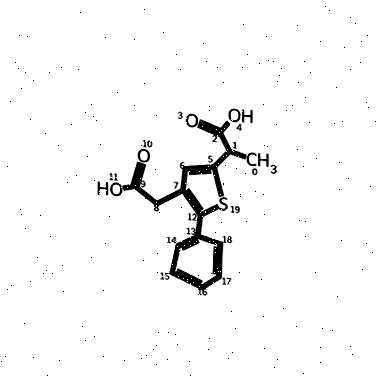 CC(C(=O)O)c1cc(CC(=O)O)c(-c2ccccc2)s1